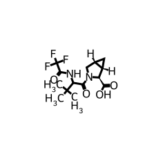 CC(C)(C)C(NC(=O)C(F)(F)F)C(=O)N1C[C@@H]2C[C@@H]2[C@H]1C(=O)O